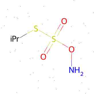 CC(C)SS(=O)(=O)ON